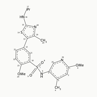 COc1cc(C)c(NS(=O)(=O)c2cc(-c3sc(NC(C)C)nc3C)ccc2OC)cn1